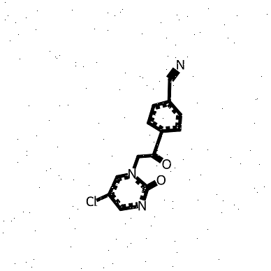 N#Cc1ccc(C(=O)Cn2cc(Cl)cnc2=O)cc1